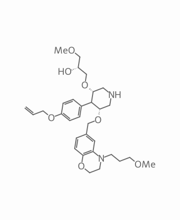 C=CCOc1ccc(C2[C@@H](OCc3ccc4c(c3)N(CCCOC)CCO4)CNC[C@H]2OC[C@H](O)COC)cc1